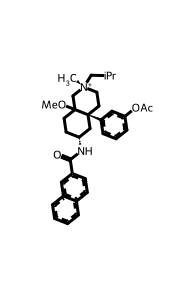 COC12CC[C@@H](NC(=O)c3ccc4ccccc4c3)C[C@@]1(c1cccc(OC(C)=O)c1)CC[N@@+](C)(CC(C)C)C2